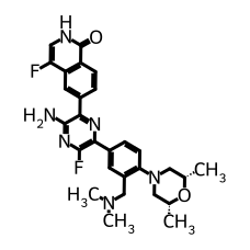 C[C@@H]1CN(c2ccc(-c3nc(-c4ccc5c(=O)[nH]cc(F)c5c4)c(N)nc3F)cc2CN(C)C)C[C@H](C)O1